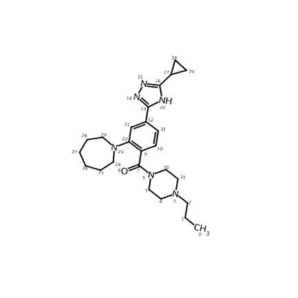 CCCN1CCN(C(=O)c2ccc(-c3nnc(C4CC4)[nH]3)cc2N2CCCCCC2)CC1